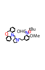 COc1ccc(CCN2CCCC2CN2c3ccccc3COc3ccccc32)cc1N(C=O)OC(C)(C)C